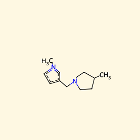 CC1CCN(Cc2ccn(C)c2)CC1